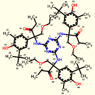 CCOCC(Nc1nc(NC(COCC)(C(=O)CC)c2cc(C)c(O)c(C(C)(C)C)c2)nc(NC(COCC)(C(=O)CC)c2cc(C)c(O)c(C(C)(C)C)c2)n1)(C(=O)CC)c1cc(C)c(O)c(C(C)(C)C)c1